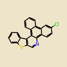 Clc1ccc2c(c1)c1ccccc1c1c2ncc2sc3ccccc3c21